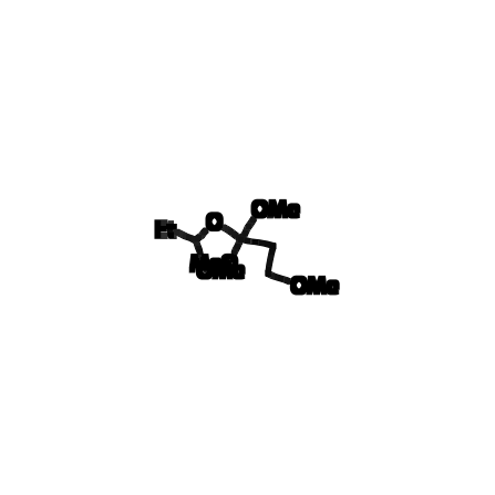 CCC(OC)OC(CCOC)(OC)OC